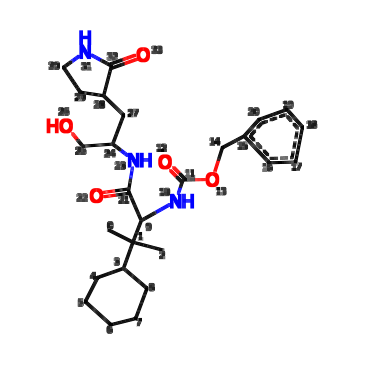 CC(C)(C1CCCCC1)C(NC(=O)OCc1ccccc1)C(=O)NC(CO)CC1CCNC1=O